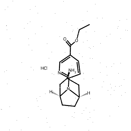 CCOC(=O)c1ccc(N2[C@@H]3CC[C@H]2C[C@@H](N)C3)nc1.Cl